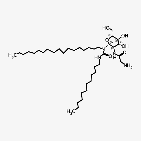 CCCCCCCCCCCCCCCCCCN(C(=O)NCCCCCCCCCCCC)[C@@H]1O[C@H](CO)[C@@H](O)[C@H](O)[C@H]1NC(=O)CN